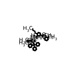 CCCCCc1ccc(C(=O)Nc2cccc(C)c2C)cc1NC[C@H](CSC(c1ccccc1)(c1ccccc1)c1ccccc1)NC(=O)OC(C)(C)C